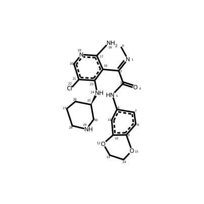 C/N=C(/C(=O)Nc1ccc2c(c1)OCCO2)c1c(N)ncc(Cl)c1N[C@@H]1CCCNC1